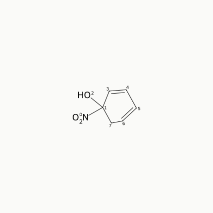 O=[N+]([O-])C1(O)C=CC=CC1